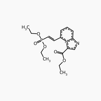 CCOC(=O)c1cnc2cccc(C=CP(=O)(OCC)OCC)n12